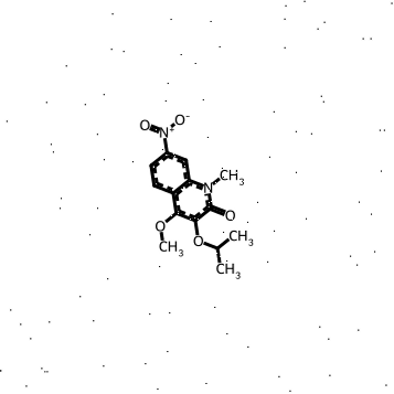 COc1c(OC(C)C)c(=O)n(C)c2cc([N+](=O)[O-])ccc12